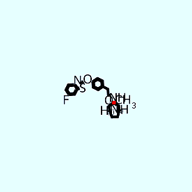 CC(=O)N1[C@@H]2CC[C@H]1C[C@H](NCCc1ccc(Oc3nc4ccc(F)cc4s3)cc1)C2